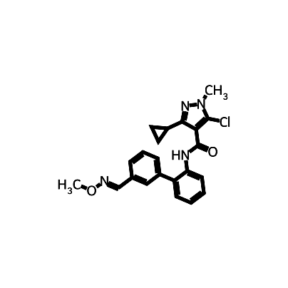 CO/N=C/c1cccc(-c2ccccc2NC(=O)c2c(C3CC3)nn(C)c2Cl)c1